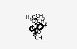 COC(=O)C1(c2ccc(F)cc2)CCCN1C(=O)OC(C)(C)C